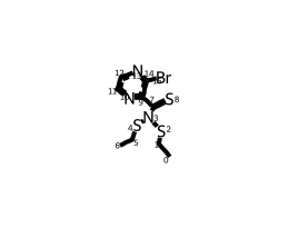 CCSN(SCC)C(=S)c1nccnc1Br